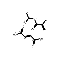 C=C(C)C(=O)OC(C)O.O=C(O)C=CC(=O)O